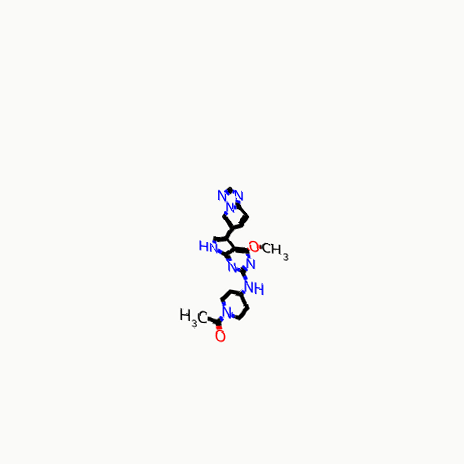 COc1nc(NC2CCN(C(C)=O)CC2)nc2[nH]cc(-c3ccc4ncnn4c3)c12